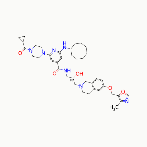 Cc1ncoc1COc1ccc2c(c1)CCN(C[C@@H](O)CNC(=O)c1cc(NC3CCCCCCC3)nc(N3CCN(C(=O)C4CC4)CC3)c1)C2